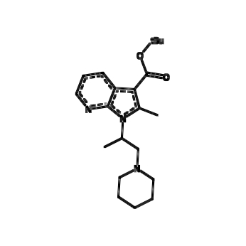 Cc1c(C(=O)OC(C)(C)C)c2cccnc2n1C(C)CN1CCCCC1